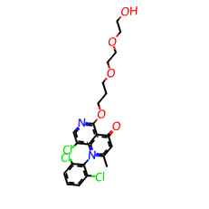 Cc1cc(=O)c2c(OCCCOCCOCCO)ncc(Cl)c2n1-c1c(Cl)cccc1Cl